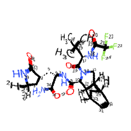 [2H]C1([2H])C[C@@H](C[C@H](NC(=O)[C@@H]2[C@@H]3[C@H](CN2C(=O)[C@@H](NC(=O)C(F)(F)F)C(C)(C)C)[C@@H]2C=C[C@H]3C2)C(N)=O)C(=O)N1